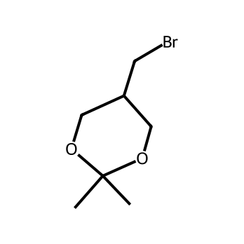 CC1(C)OCC(CBr)CO1